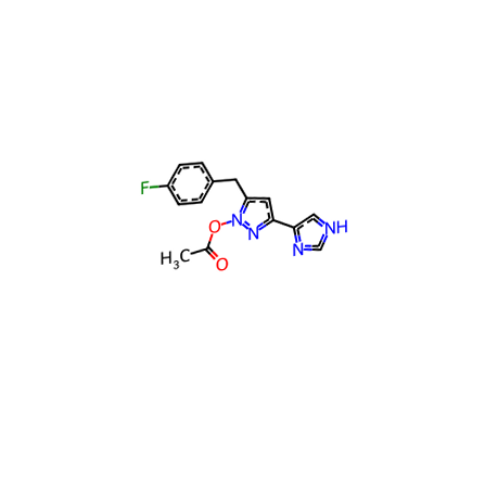 CC(=O)On1nc(-c2c[nH]cn2)cc1Cc1ccc(F)cc1